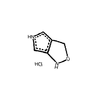 Cl.c1[nH]cc2c1CON2